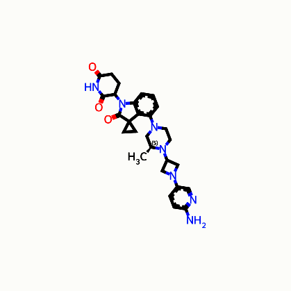 C[C@H]1CN(c2cccc3c2C2(CC2)C(=O)N3C2CCC(=O)NC2=O)CCN1C1CN(c2ccc(N)nc2)C1